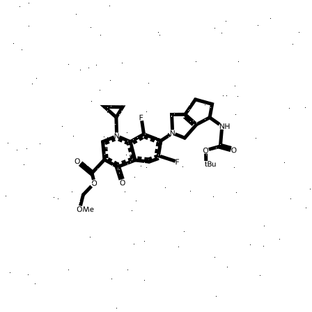 COCOC(=O)c1cn(C2CC2)c2c(F)c(N3CC4=C(C3)C(NC(=O)OC(C)(C)C)CC4)c(F)cc2c1=O